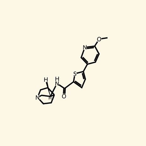 COc1ccc(-c2ccc(C(=O)N[C@H]3CN4CCC3CC4)s2)cn1